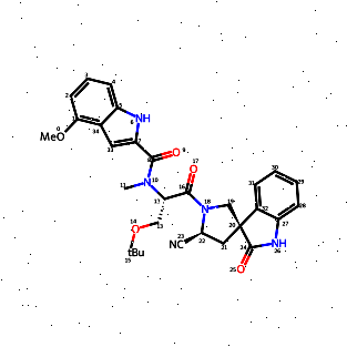 COc1cccc2[nH]c(C(=O)N(C)[C@@H](COC(C)(C)C)C(=O)N3C[C@]4(C[C@H]3C#N)C(=O)Nc3ccccc34)cc12